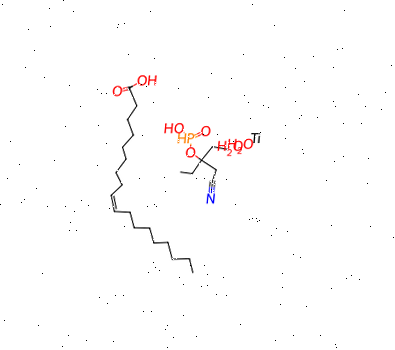 CCC(CC)(CC#N)O[PH](=O)O.CCCCCCCC/C=C\CCCCCCCC(=O)O.O.O.[Ti]